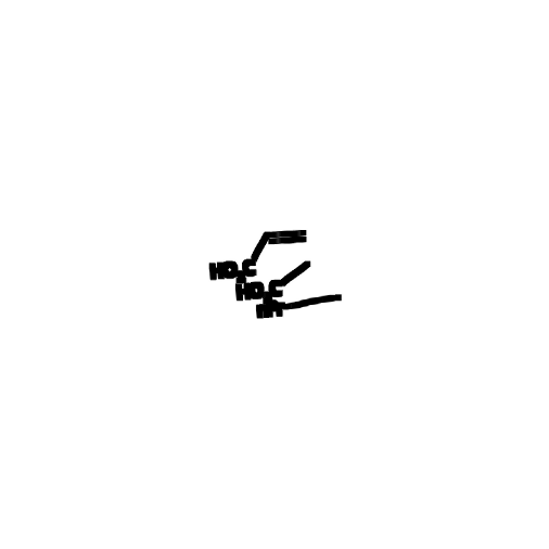 C=CC(=O)O.CC(=O)O.[CH2]CCC